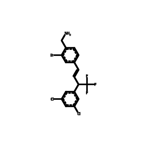 NCc1ccc(/C=C/C(c2cc(Cl)cc(Cl)c2)C(F)(F)F)cc1Br